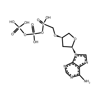 Nc1ncnc2c1ncn2[C@H]1C[C@@H](OCP(=O)(O)OP(=O)(O)OP(=O)(O)O)CO1